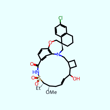 CC[C@H]1[C@@H](OC)C/C=C/C(O)C2CCC2CN2C[C@@]3(CCCc4cc(Cl)ccc43)COc3ccc(cc32)C(=O)NS1(=O)=O